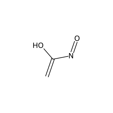 C=C(O)N=O